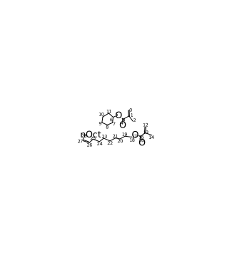 C=C(C)C(=O)OC1CCCCC1.C=C(C)C(=O)OCCCCCCCC/C=C\CCCCCCCC